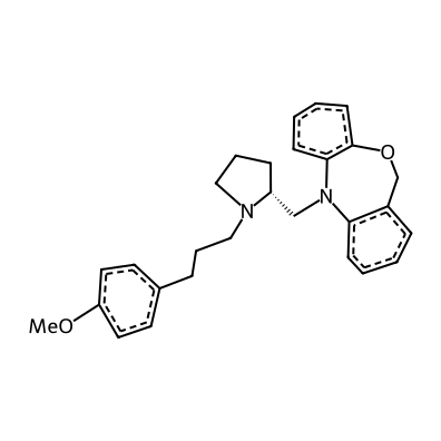 COc1ccc(CCCN2CCC[C@@H]2CN2c3ccccc3COc3ccccc32)cc1